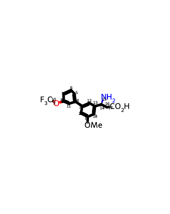 COc1cc(-c2cccc(OC(F)(F)F)c2)cc([C@@H](N)CC(=O)O)c1